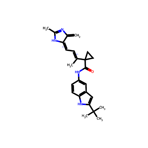 C=c1nc(C)[nH]/c1=C/C=C(\C)C1(C(=O)Nc2ccc3[nH]c(C(C)(C)C)cc3c2)CC1